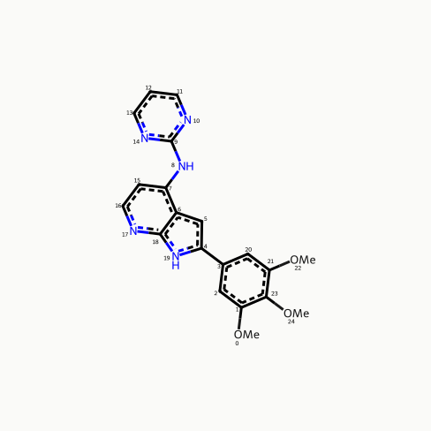 COc1cc(-c2cc3c(Nc4ncccn4)ccnc3[nH]2)cc(OC)c1OC